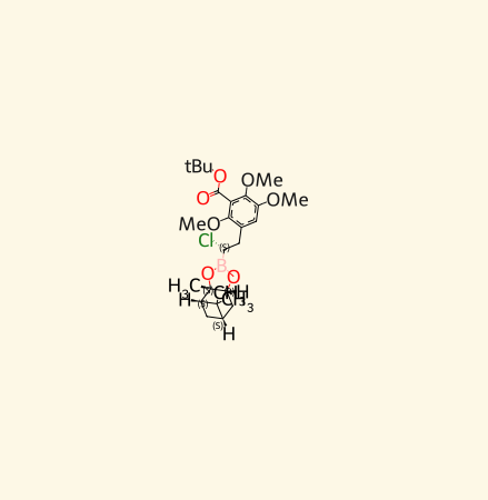 COc1cc(C[C@@H](Cl)B2O[C@@H]3C[C@@H]4C[C@@H](C4(C)C)[C@]3(C)O2)c(OC)c(C(=O)OC(C)(C)C)c1OC